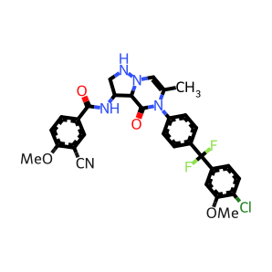 COc1cc(C(F)(F)c2ccc(N3C(=O)C4C(NC(=O)c5ccc(OC)c(C#N)c5)CNN4C=C3C)cc2)ccc1Cl